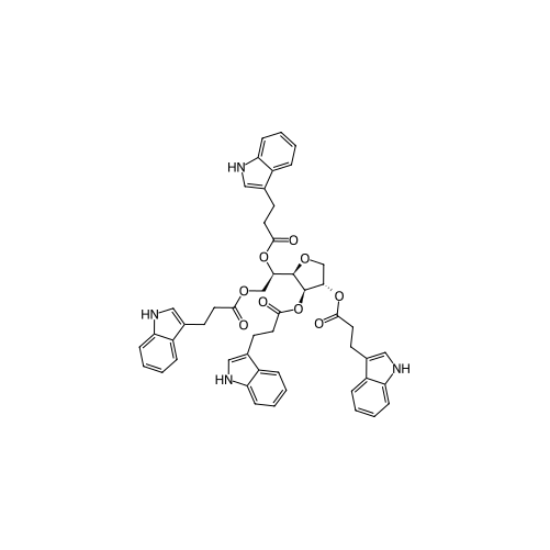 O=C(CCc1c[nH]c2ccccc12)OC[C@@H](OC(=O)CCc1c[nH]c2ccccc12)[C@H]1OC[C@H](OC(=O)CCc2c[nH]c3ccccc23)[C@H]1OC(=O)CCc1c[nH]c2ccccc12